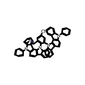 C/N=C/c1cc(C#N)cc(-n2c3ccccc3c3ccc4c(c5ccccc5n4-c4ccccc4)c32)c1-n1c2ccccc2c2ccc3c(c4ccccc4n3-c3ccccc3)c21